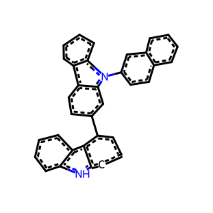 c1ccc2cc(-n3c4ccccc4c4ccc(-c5cccc6[nH]c7ccccc7c56)cc43)ccc2c1